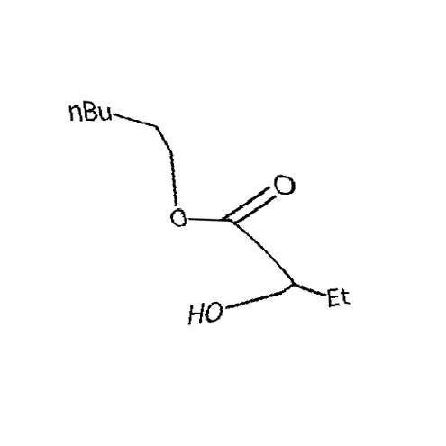 CCCCCOC(=O)C(O)CC